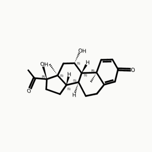 CC(=O)[C@@]1(O)CC[C@H]2[C@@H]3CCC4=CC(=O)C=C[C@]4(C)[C@H]3[C@@H](O)C[C@@]21C